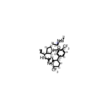 C=CC(Nc1nc2n(n1)C(C(F)(F)F)CCC2c1ccc(C(F)(F)F)cc1)C1CCN(CO/C(C)=N\N=C)C1